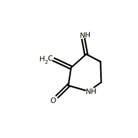 C=C1C(=N)CCNC1=O